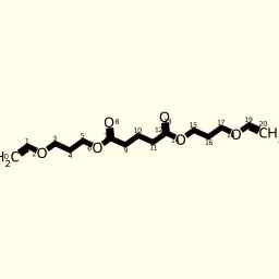 C=COCCCOC(=O)CCCC(=O)OCCCOC=C